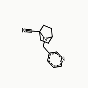 N#CC12CCC(CC1)N2Cc1cccnc1